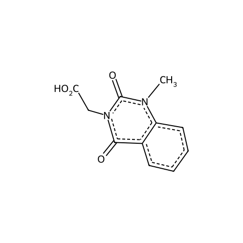 Cn1c(=O)n(CC(=O)O)c(=O)c2ccccc21